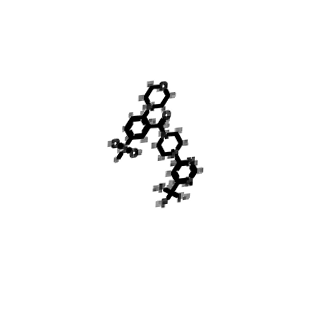 CS(=O)(=O)c1ccc(N2CCOCC2)c(C(=O)N2CCN(c3cc(C(F)(F)F)ncn3)CC2)c1